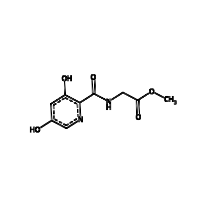 COC(=O)CNC(=O)c1ncc(O)cc1O